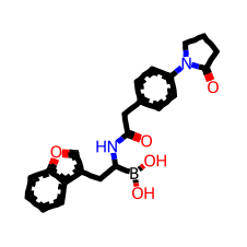 O=C(Cc1ccc(N2CCCC2=O)cc1)NC(Cc1coc2ccccc12)B(O)O